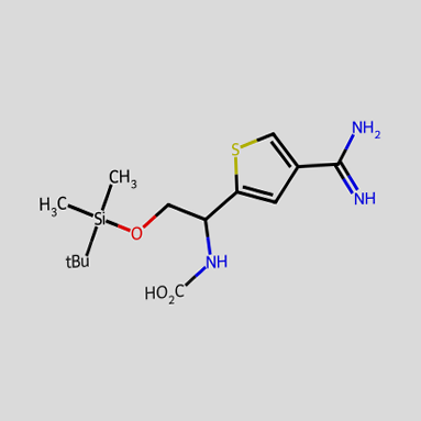 CC(C)(C)[Si](C)(C)OCC(NC(=O)O)c1cc(C(=N)N)cs1